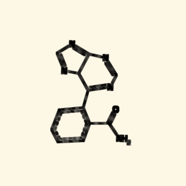 NC(=O)c1ccccc1C1=NC=NC2=NC=NC21